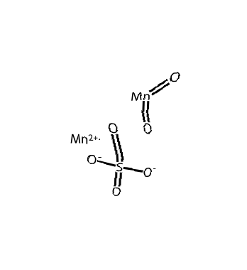 O=S(=O)([O-])[O-].[Mn+2].[O]=[Mn]=[O]